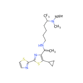 C=C(NCCCCC(N(C)NC)C(F)(F)F)c1nc(-c2nccs2)sc1C1CC1